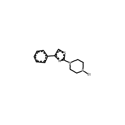 CCN1CCN(c2nc(-c3ccccc3)cs2)CC1